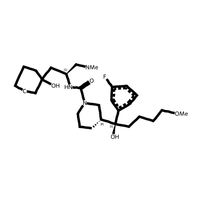 CNC[C@H](CC1(O)CCCCC1)NC(=O)N1CCC[C@@H]([C@@](O)(CCCCOC)c2cccc(F)c2)C1